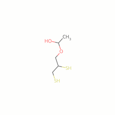 CC(O)OCC(S)CS